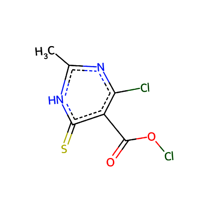 Cc1nc(Cl)c(C(=O)OCl)c(=S)[nH]1